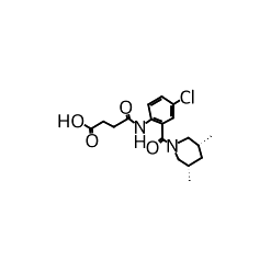 C[C@@H]1C[C@H](C)CN(C(=O)c2cc(Cl)ccc2NC(=O)CCC(=O)O)C1